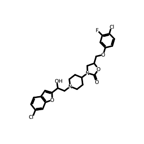 O=C1OC(COc2ccc(Cl)c(F)c2)CN1C1CCN(CC(O)c2cc3ccc(Cl)cc3o2)CC1